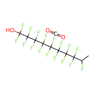 CC(F)C(F)(F)C(F)(F)C(F)(F)C(F)(F)C(F)(F)C(F)(F)C(F)(F)C(O)(F)F.O=C=O